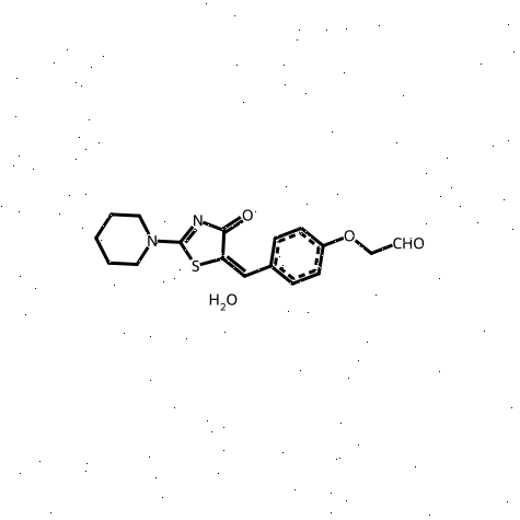 O.O=CCOc1ccc(C=C2SC(N3CCCCC3)=NC2=O)cc1